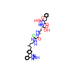 CC(CCc1nc(Cl)c(C(=O)NCCCC[C@H](NC(=O)C(Cc2ccccc2)C(=O)NO)C(=O)O)[nH]1)Cc1ccc(-c2ccccc2-c2nn[nH]n2)cc1